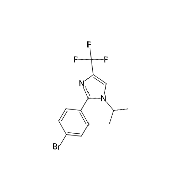 CC(C)n1cc(C(F)(F)F)nc1-c1ccc(Br)cc1